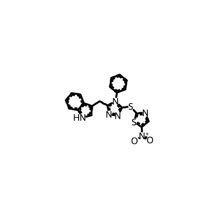 O=[N+]([O-])c1cnc(Sc2nnc(Cc3c[nH]c4ccccc34)n2-c2ccccc2)s1